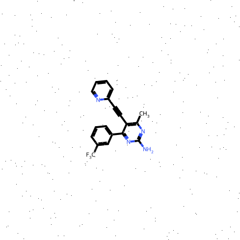 Cc1nc(N)nc(-c2cccc(C(F)(F)F)c2)c1C#Cc1ccccn1